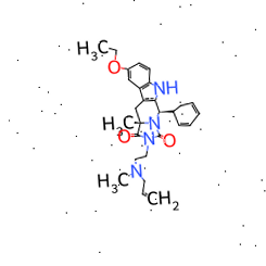 C=CCN(C)CCN1C(=O)N2[C@H](C3C=CC=CC3)c3[nH]c4ccc(OCC)cc4c3C[C@@]2(C)C1=O